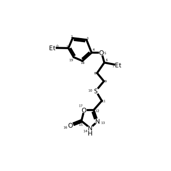 CCc1ccc(OC(CC)CCSCc2n[nH]c(=O)o2)cc1